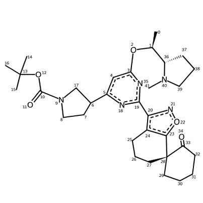 C[C@H](Oc1cc(C2CCN(C(=O)OC(C)(C)C)C2)nc(-c2noc3c2CCC[C@@]32CCCCC2=O)n1)[C@@H]1CCCN1C